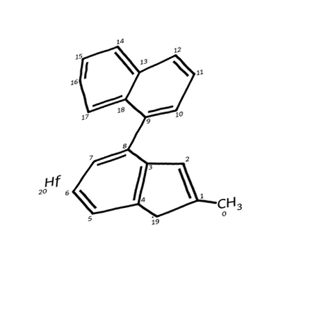 CC1=Cc2c(cccc2-c2cccc3ccccc23)[CH]1.[Hf]